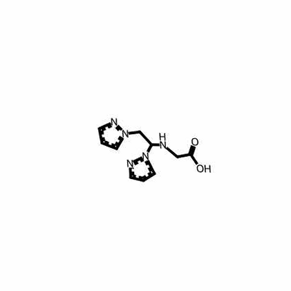 O=C(O)CNC(Cn1cccn1)n1cccn1